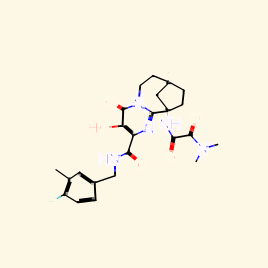 Cc1cc(CNC(=O)c2nc3n(c(=O)c2O)CC[C@H]2CC[C@]3(NC(=O)C(=O)N(C)C)C2)ccc1F